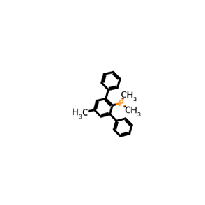 Cc1cc(-c2ccccc2)c(P(C)C)c(-c2ccccc2)c1